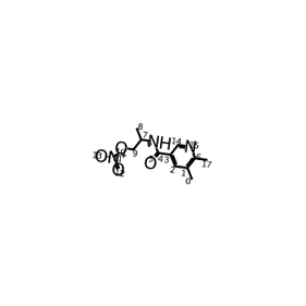 Cc1cc(C(=O)NC(C)CO[N+](=O)[O-])cnc1C